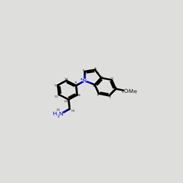 COc1ccc2c(ccn2-c2cccc(CN)c2)c1